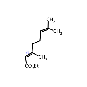 [CH2]COC(=O)/C=C(\C)CCC=C(C)C